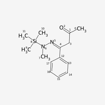 CC(=O)CC(=NN(C)[Si](C)(C)C)c1ccccc1